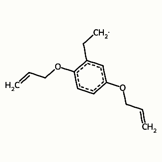 [CH2]Cc1cc(OCC=C)ccc1OCC=C